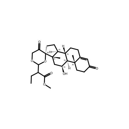 CCC(C(=O)OC)C1OCC(=O)[C@]2(CC[C@H]3[C@@H]4CCC5=CC(=O)CC[C@]5(C)[C@H]4[C@@H](O)C[C@@]32C)O1